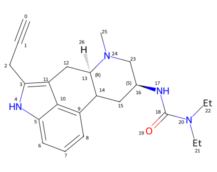 C#CCc1[nH]c2cccc3c2c1C[C@@H]1C3C[C@H](NC(=O)N(CC)CC)CN1C